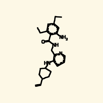 C=CC1CCC(Nc2cccnc2CNC(=O)c2c(N)cc(CC)cc2CC)CC1